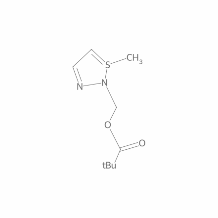 CS1=CC=NN1COC(=O)C(C)(C)C